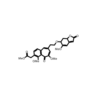 COC(=O)Cc1ccc2cc(CCOC3CC4OC(=O)C=C4C=C3OC)cc(OC)c(=O)c2c1OC